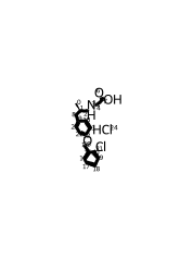 C[C@@H](CNCC(=O)O)Cc1ccc(OCc2ccccc2Cl)cc1.Cl